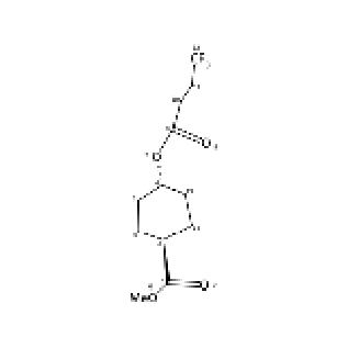 COC(=O)[C@H]1CC[C@H](OC(=O)CCC(F)(F)F)CC1